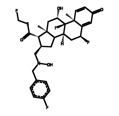 C[C@]12C[C@H](O)[C@@]3(F)[C@@H](C[C@H](F)C4=CC(=O)C=C[C@@]43C)C1C[C@@H](CN(O)Cc1ccc(F)cc1)[C@@H]2C(=O)SCF